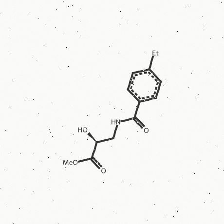 CCc1ccc(C(=O)NC[C@H](O)C(=O)OC)cc1